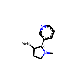 CNC1CCN(C)[C@@H]1c1cccnc1